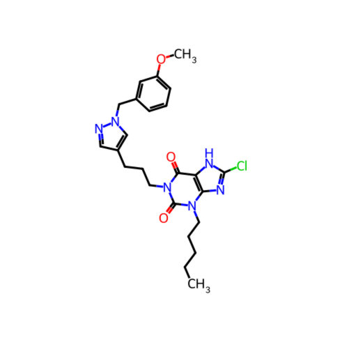 CCCCCn1c(=O)n(CCCc2cnn(Cc3cccc(OC)c3)c2)c(=O)c2[nH]c(Cl)nc21